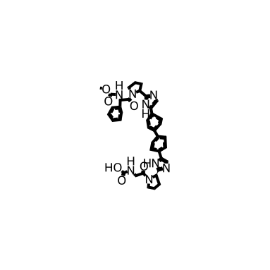 COC(=O)N[C@H](C(=O)N1CCCC1c1ncc(-c2ccc(-c3ccc(-c4cnc([C@@H]5CCCN5C(=O)CNC(=O)O)[nH]4)cc3)cc2)[nH]1)c1ccccc1